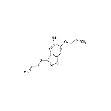 C=CCOc1cc2onc(OCC=C)c2cc1N